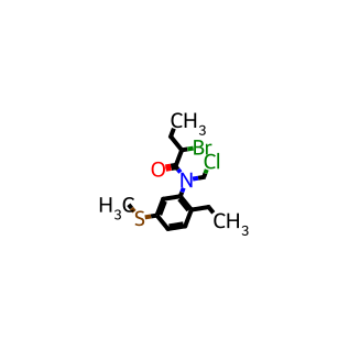 CCc1ccc(SC)cc1N(CCl)C(=O)C(Br)CC